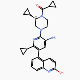 Nc1cc(-c2cccc3nc(O)ccc23)c(C2CC2)nc1N1CCN(C(=O)C2CC2)[C@H](C2CC2)C1